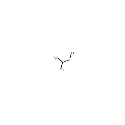 CC(C)SC(C(F)(F)F)C(F)(F)F